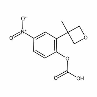 CC1(c2cc([N+](=O)[O-])ccc2OC(=O)O)COC1